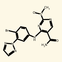 C[S+]([O-])c1ncc(C(N)=O)c(Nc2ccc(Br)c(-n3nccn3)c2)n1